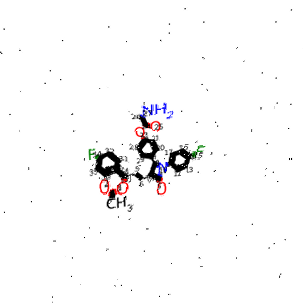 CC(=O)O[C@@H](CC[C@H]1C(=O)N(c2ccc(F)cc2)[C@@H]1c1ccc(OC(=O)CN)cc1)c1ccc(F)cc1